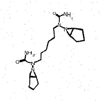 NC(=O)N(CCCCCCN(C(N)=O)N1C2CCCC21)N1C2CCCC21